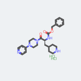 Cl.Cl.O=C(N[C@@H](CC1CCNCC1)C(=O)N1CCN(c2ccncc2)CC1)OCc1ccccc1